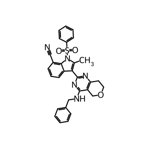 Cc1c(-c2nc3c(c(NCc4ccccc4)n2)COCC3)c2cccc(C#N)c2n1S(=O)(=O)c1ccccc1